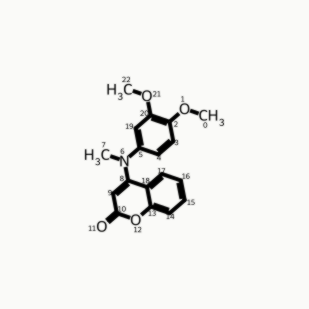 COc1ccc(N(C)c2cc(=O)oc3ccccc23)cc1OC